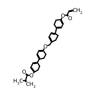 C=CC(=O)OC1=CC=C(C2=CC=C(COC3=CC=C(C4=CC=C(OC(=O)C(=C)C)CC4)CC3)CC2)CC1